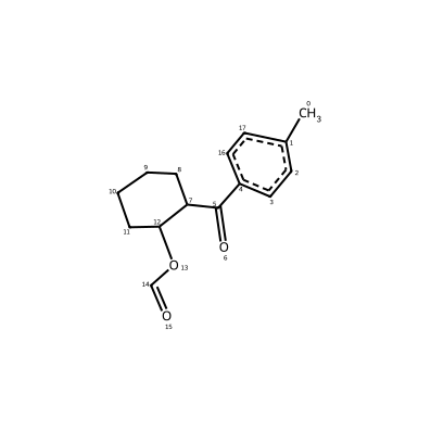 Cc1ccc(C(=O)C2CCCCC2OC=O)cc1